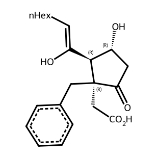 CCCCCCC=C(O)[C@H]1[C@H](O)CC(=O)[C@@]1(CC(=O)O)Cc1ccccc1